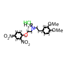 COc1ccc(CCN(C)CCOc2ccc([N+](=O)[O-])cc2[N+](=O)[O-])cc1OC.Cl